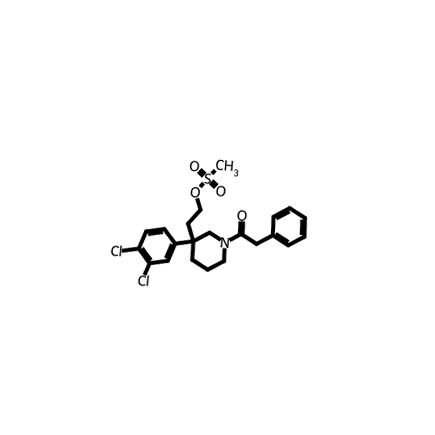 CS(=O)(=O)OCCC1(c2ccc(Cl)c(Cl)c2)CCCN(C(=O)Cc2ccccc2)C1